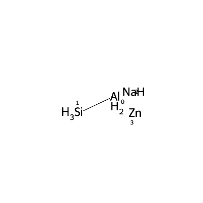 [AlH2][SiH3].[NaH].[Zn]